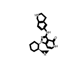 O=c1[nH]ccc2c1c(Nc1ccc3c(c1)CCNC3)nn2[C@H]1CCCC[C@@H]1C1C=N1